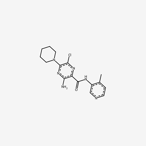 Cc1ccncc1NC(=O)c1nc(Cl)c(N2CCCCC2)nc1N